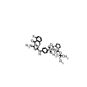 CC(C)(C)OC(=O)N1CCC[C@H]1C(=O)NS(=O)(=O)c1ccc(Nc2nc(N)n(C(=O)c3c(F)cccc3F)n2)cc1